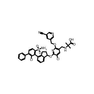 CC(C)(NCc1cc(Cl)c(OC2CCc3c(-c4c(S(N)(=O)=O)ccc(-c5ccccc5)c4Cl)cccc32)nc1OCc1cncc(C#N)c1)C(=O)O